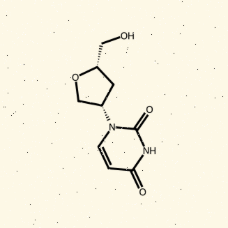 O=c1ccn([C@@H]2CO[C@H](CO)C2)c(=O)[nH]1